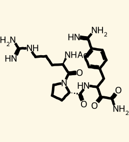 CC(=O)N[C@H](CCCNC(=N)N)C(=O)N1CCC[C@H]1C(=O)NC(Cc1ccc(C(=N)N)cc1)C(=O)C(N)=O